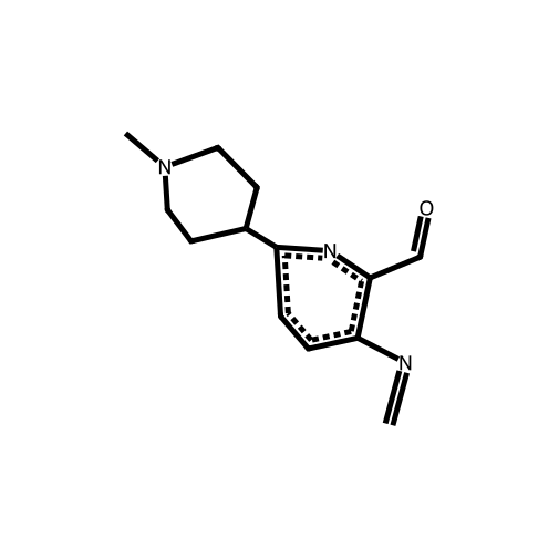 C=Nc1ccc(C2CCN(C)CC2)nc1C=O